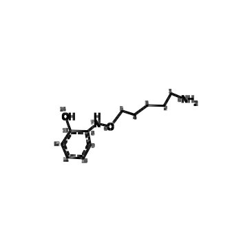 NCCCCCONc1ccccc1O